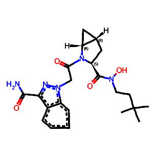 CC(C)(C)CCN(O)C(=O)[C@@H]1C[C@H]2C[C@H]2N1C(=O)Cn1nc(C(N)=O)c2ccccc21